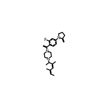 C=C(c1ccc(N2CCCC2=C)cc1F)N1CCN(C(C)/C(C)=C\C(C)=C/C)CC1